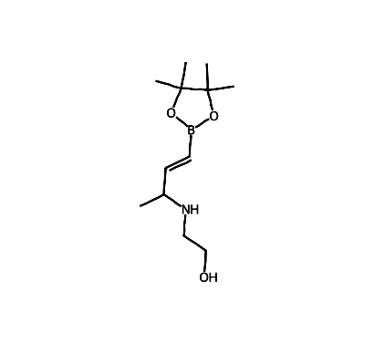 CC(/C=C/B1OC(C)(C)C(C)(C)O1)NCCO